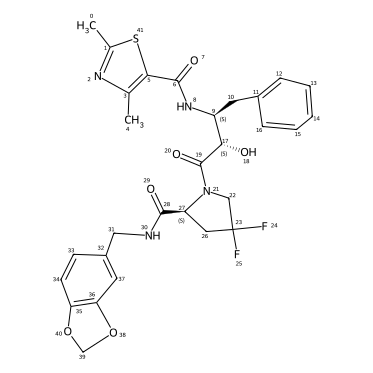 Cc1nc(C)c(C(=O)N[C@@H](Cc2ccccc2)[C@H](O)C(=O)N2CC(F)(F)C[C@H]2C(=O)NCc2ccc3c(c2)OCO3)s1